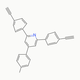 C#Cc1ccc(-c2cc(-c3ccc(C)cc3)cc(-c3ccc(C#C)cc3)n2)cc1